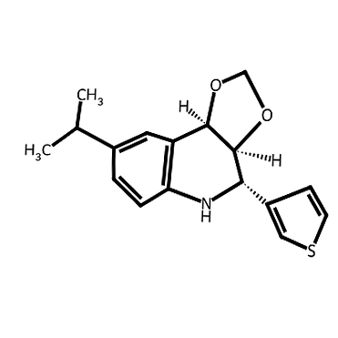 CC(C)c1ccc2c(c1)[C@H]1OCO[C@H]1[C@H](c1ccsc1)N2